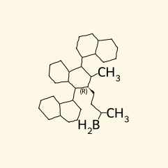 BC(C)CC[C@@H]1C(C)C(C2CCCC3CCCCC32)C2CCCCC2C1C1CCCC2CCCCC21